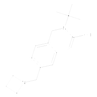 CC(C)(C)N(Cc1ccc(CN2CCC2)cc1)C(=O)O